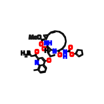 BCC(=O)c1cc(O[C@@H]2C[C@H]3C(=O)N[C@]4(C(=O)OC)CC4/C=C\CCCCC[C@H](NC(=O)OC4CCCC4)C(=O)N3C2)c2cccc(C)c2n1